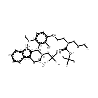 COc1ccc(OCCN(CCCF)C(=O)OC(C)(C)C)c(F)c1[C@@H]1c2[nH]c3ccccc3c2C[C@@H](C)N1CC(F)(F)F